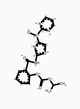 CC(C)OC(=O)Oc1ccccc1C(=O)Nc1nc([S+]([O-])c2ncccn2)cs1